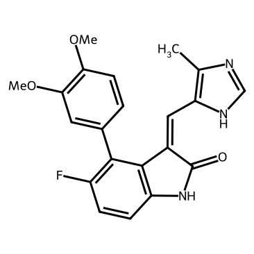 COc1ccc(-c2c(F)ccc3c2C(=Cc2[nH]cnc2C)C(=O)N3)cc1OC